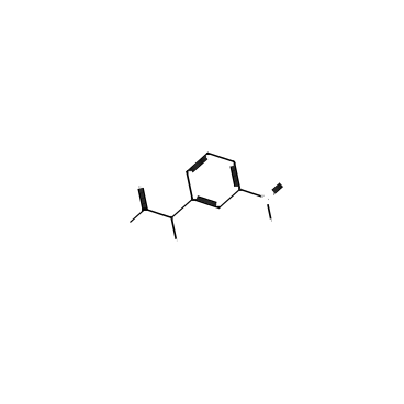 O=C(O)C(Cl)c1cccc([N+](=O)[O-])c1